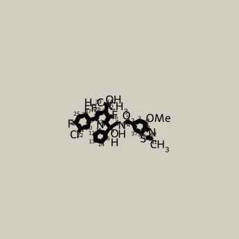 COc1cc(C(=O)NC[C@@](O)(c2ccccc2)c2nc(-c3cc(Cl)c(F)cc3F)c(F)c(C(C)(C)O)c2F)cc2sc(C)nc12